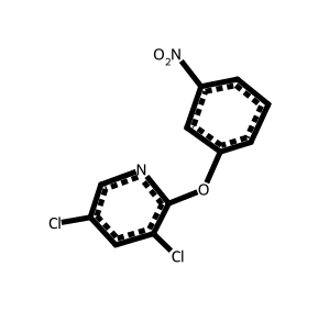 O=[N+]([O-])c1cccc(Oc2ncc(Cl)cc2Cl)c1